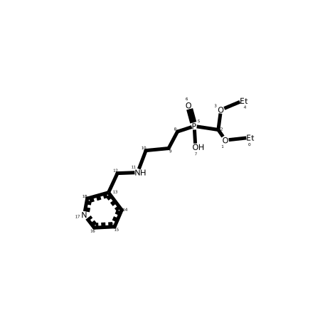 CCOC(OCC)P(=O)(O)CCCNCc1cccnc1